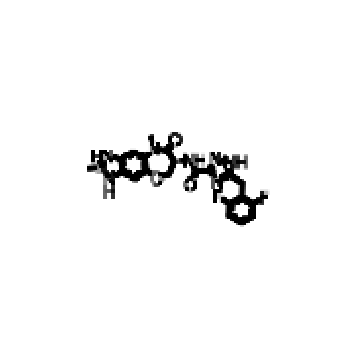 CN1Nc2cc3c(cc2N1)N(C)C(=O)[C@@H](NC(=O)c1n[nH]c(Cc2c(F)cccc2F)n1)CO3